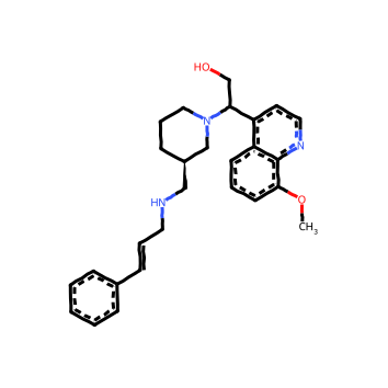 COc1cccc2c(C(CO)N3CCC[C@H](CNCC=Cc4ccccc4)C3)ccnc12